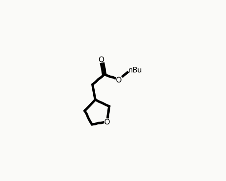 CCCCOC(=O)CC1CCOC1